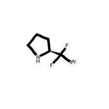 CC(C)C(F)(F)[C@@H]1CCCN1